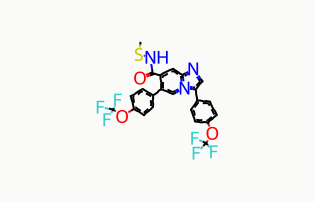 CSNC(=O)c1cc2ncc(-c3ccc(OC(F)(F)F)cc3)n2cc1-c1ccc(OC(F)(F)F)cc1